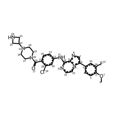 COc1ccc(-c2cnc3c(Nc4ccc(C(=O)N5CCN(C6CNC6)CC5)c(Cl)c4)nccn23)cc1F